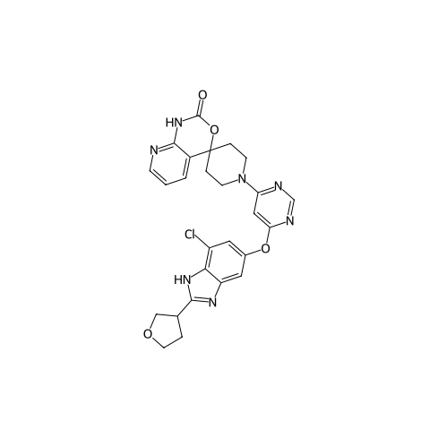 O=C1Nc2ncccc2C2(CCN(c3cc(Oc4cc(Cl)c5[nH]c(C6CCOC6)nc5c4)ncn3)CC2)O1